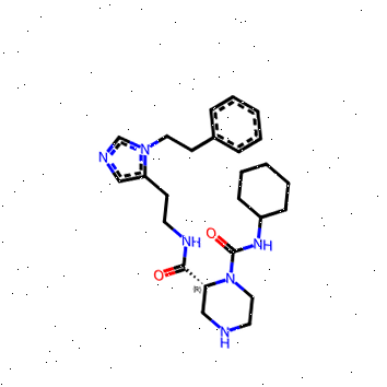 O=C(NCCc1cncn1CCc1ccccc1)[C@H]1CNCCN1C(=O)NC1CCCCC1